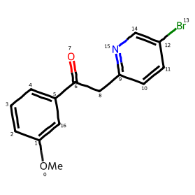 COc1cccc(C(=O)Cc2ccc(Br)cn2)c1